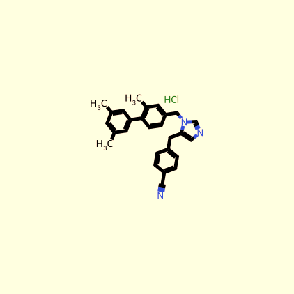 Cc1cc(C)cc(-c2ccc(Cn3cncc3Cc3ccc(C#N)cc3)cc2C)c1.Cl